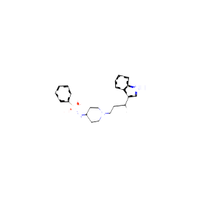 O=CC(CCN1CCC(NS(=O)(=O)c2ccccc2)CC1)c1c[nH]c2ccccc12